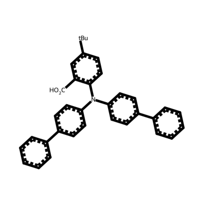 CC(C)(C)c1ccc(N(c2ccc(-c3ccccc3)cc2)c2ccc(-c3ccccc3)cc2)c(C(=O)O)c1